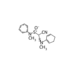 CN(SC(C#N)[S+]([O-])N(C)c1ccccc1)C1=CCCC=C1